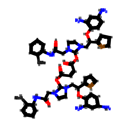 COc1ccccc1NC(=O)CN1C=CN(CC(Oc2ccc(N)cc2N)c2cccs2)C1OC(=O)/C=C\C(=O)OC1N(CC(=O)Nc2ccccc2OC)C=CN1CC(Oc1ccc(N)cc1N)c1cccs1